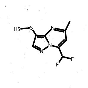 Cc1cc(C(F)F)n2ncc(SS)c2n1